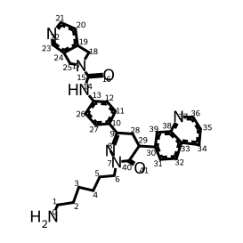 NCCCCCCN1N=C(c2ccc(NC(=O)N3Cc4ccncc4C3)cc2)CC(c2ccc3cccnc3c2)C1=O